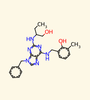 CCC(CO)Nc1nc(NCc2cccc(C)c2O)c2ncn(Cc3ccccc3)c2n1